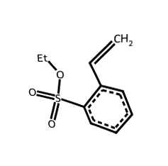 C=Cc1ccccc1S(=O)(=O)OCC